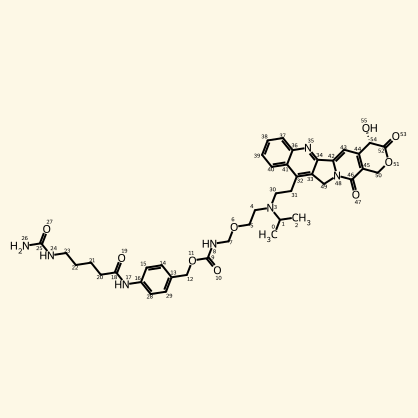 CC(C)N(CCOCNC(=O)OCc1ccc(NC(=O)CCCCNC(N)=O)cc1)CCc1c2c(nc3ccccc13)-c1cc3c(c(=O)n1C2)COC(=O)[C@H]3O